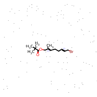 C/C(=C\CC/C=C/CBr)COC(=O)C(C)(C)C